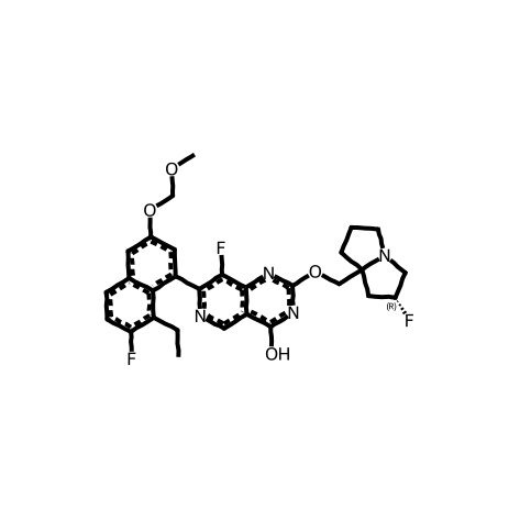 CCc1c(F)ccc2cc(OCOC)cc(-c3ncc4c(O)nc(OCC56CCCN5C[C@H](F)C6)nc4c3F)c12